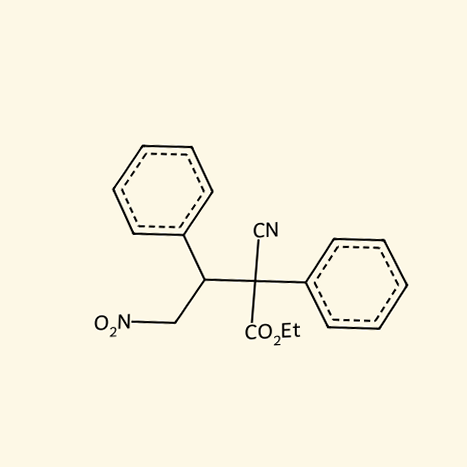 CCOC(=O)C(C#N)(c1ccccc1)C(C[N+](=O)[O-])c1ccccc1